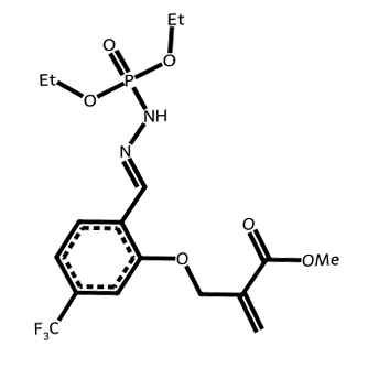 C=C(COc1cc(C(F)(F)F)ccc1C=NNP(=O)(OCC)OCC)C(=O)OC